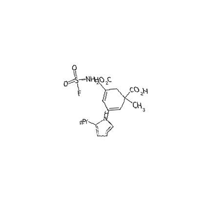 CC1(C(=O)O)C=CC=C(C(=O)O)C1.CCCc1ccc[nH]1.NS(=O)(=O)F